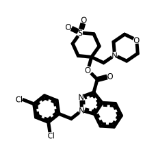 O=C(OC1(CN2CCOCC2)CCS(=O)(=O)CC1)c1nn(Cc2ccc(Cl)cc2Cl)c2ccccc12